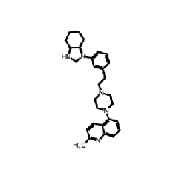 Cc1ccc2c(N3CCN(CCc4cccc(N5[CH]NC6CCCCC65)c4)CC3)cccc2n1